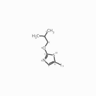 CC(C)COc1ncc(I)s1